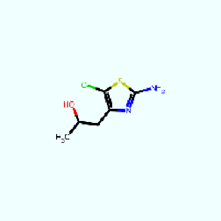 CC(O)Cc1nc(N)sc1Cl